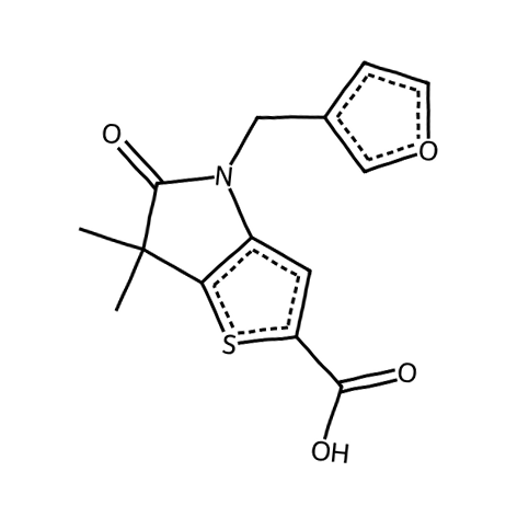 CC1(C)C(=O)N(Cc2ccoc2)c2cc(C(=O)O)sc21